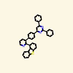 c1ccc(-c2cc(-c3ccc(-c4cccnc4-c4cccc5sc6ccccc6c45)cc3)nc(-c3ccccc3)n2)cc1